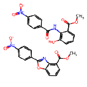 COC(=O)c1cccc(O)c1NC(=O)c1ccc([N+](=O)[O-])cc1.COC(=O)c1cccc2oc(-c3ccc([N+](=O)[O-])cc3)nc12